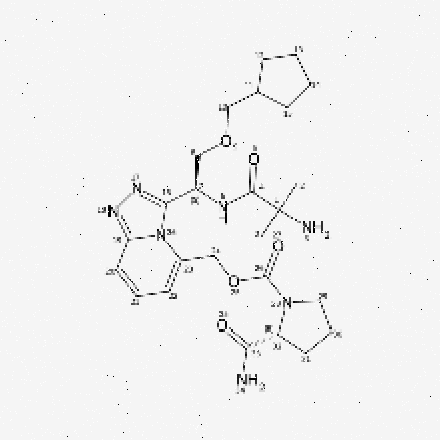 CC(C)(N)C(=O)N[C@H](COCC1CCCC1)c1nnc2cccc(COC(=O)N3CCC[C@@H]3C(N)=O)n12